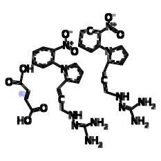 NC(N)=NNC=C=Cc1cccn1-c1ccccc1[N+](=O)[O-].NC(N)=NNC=C=Cc1cccn1-c1ccccc1[N+](=O)[O-].O=C(O)/C=C/C(=O)O